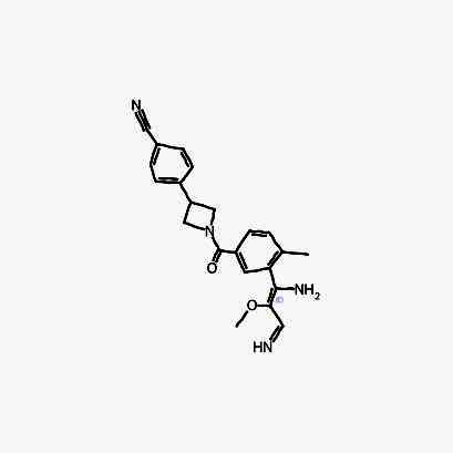 CO/C(C=N)=C(/N)c1cc(C(=O)N2CC(c3ccc(C#N)cc3)C2)ccc1C